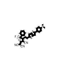 CN(C)c1ccc(-c2cc3sc(/C=C/C4=C(C#N)C(=C(C#N)C#N)OC4(c4ccccc4)C(F)(F)F)cc3s2)cc1